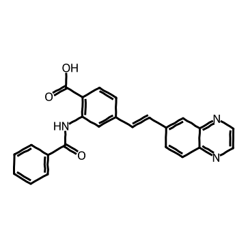 O=C(Nc1cc(/C=C/c2ccc3nccnc3c2)ccc1C(=O)O)c1ccccc1